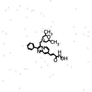 CC1CN(Cc2c(-c3ccccc3)nc3cc(/C=C/C(=O)NO)ccn23)CC(C)O1